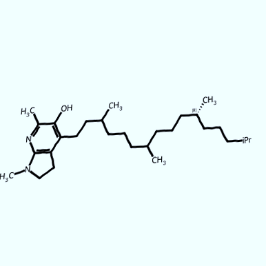 Cc1nc2c(c(CCC(C)CCCC(C)CCC[C@H](C)CCCC(C)C)c1O)CCN2C